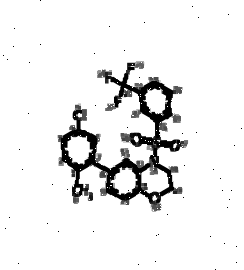 Cc1ccc(Cl)cc1-c1ccc2c(c1)N(S(=O)(=O)c1cccc(C(F)(F)F)c1)CCO2